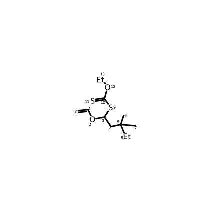 C=COC(CC(C)(C)CC)SC(=S)OCC